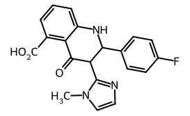 Cn1ccnc1C1C(=O)c2c(cccc2C(=O)O)NC1c1ccc(F)cc1